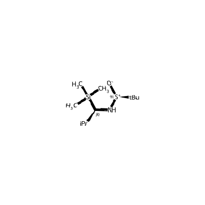 CC(C)[C@H](N[S@@+]([O-])C(C)(C)C)[Si](C)(C)C